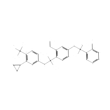 CCc1cc(CC(C)(C)c2ccccc2Cl)ccc1C(C)(C)Cc1ccc(C(C)(C)C)c(C2CC2)c1